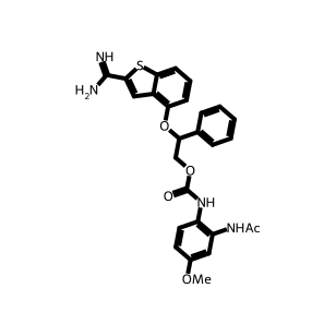 COc1ccc(NC(=O)OCC(Oc2cccc3sc(C(=N)N)cc23)c2ccccc2)c(NC(C)=O)c1